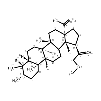 C=C(COC(C)C)[C@@H]1CC[C@]2(C(=C)O)CC[C@]3(C)C(CC[C@@H]4[C@@]5(C)CC[C@H](C)[C@@](C)(CC)[C@@H]5CC[C@]43C)[C@@H]12